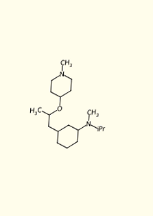 CC(CC1CCCC(N(C)C(C)C)C1)OC1CCN(C)CC1